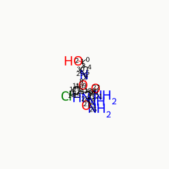 CC(O)C1CCN(CCOc2ccc(Cl)cc2-c2cc(C(N)=O)c(NC(N)=O)[nH]2)CC1